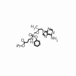 CC(C)OC(=O)CCN[P@](=O)(CO[C@H](C)Cn1cnc2c(N)ncnc21)Oc1ccccc1